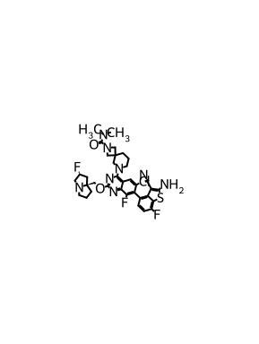 CN(C)C(=O)N1CC2(CCCN(c3nc(OC[C@@]45CCCN4C[C@H](F)C5)nc4c(F)c(-c5ccc(F)c6sc(N)c(C#N)c56)c(Cl)cc34)C2)C1